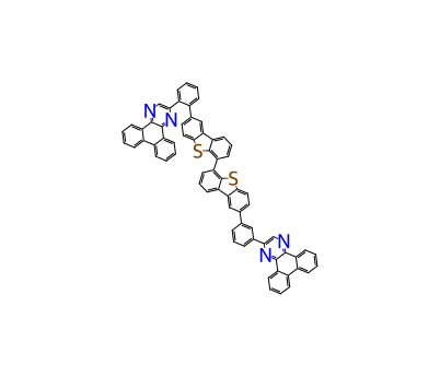 c1cc(-c2ccc3sc4c(-c5cccc6c5sc5ccc(-c7ccccc7-c7cnc8c9ccccc9c9ccccc9c8n7)cc56)cccc4c3c2)cc(-c2cnc3c4ccccc4c4ccccc4c3n2)c1